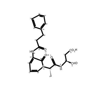 C[C@@H](C(=O)N[C@H](C=O)CC(=O)O)n1cccc(NC(=O)CCc2ccccc2)c1=O